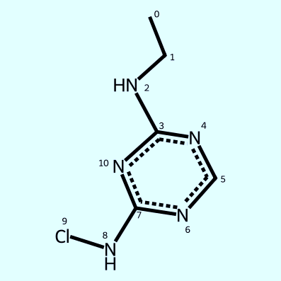 CCNc1ncnc(NCl)n1